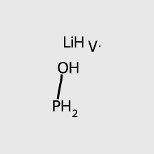 OP.[LiH].[V]